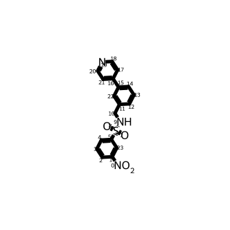 O=[N+]([O-])c1cccc(S(=O)(=O)NCc2cccc(-c3ccncc3)c2)c1